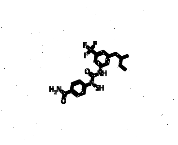 CCC(C)Cc1cc(NC(=O)N(S)c2ccc(C(N)=O)cc2)cc(C(F)(F)F)c1